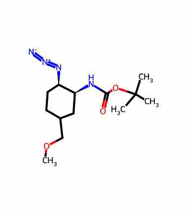 COCC1CC[C@@H](N=[N+]=[N-])[C@@H](NC(=O)OC(C)(C)C)C1